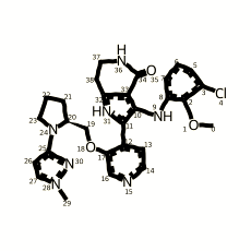 COc1c(Cl)cccc1Nc1c(-c2ccncc2OC[C@@H]2CCCN2c2ccn(C)n2)[nH]c2c1C(=O)NCC2